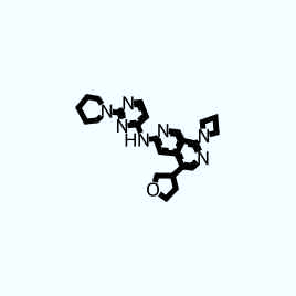 c1cc(Nc2cc3c(C4CCOC4)cnc(N4CCC4)c3cn2)nc(N2CCCCC2)n1